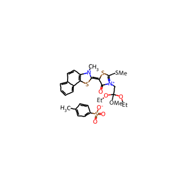 CCOC(C[N+]1=C(SC)SC(=C2Sc3c(ccc4ccccc34)N2C)C1=O)(OC)OCC.Cc1ccc(S(=O)(=O)[O-])cc1